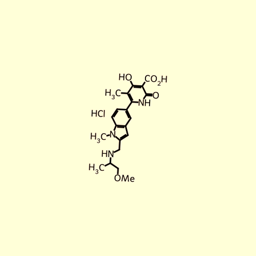 COCC(C)NCc1cc2cc(-c3[nH]c(=O)c(C(=O)O)c(O)c3C)ccc2n1C.Cl